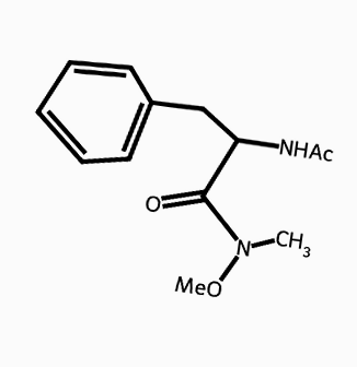 CON(C)C(=O)C(Cc1ccccc1)NC(C)=O